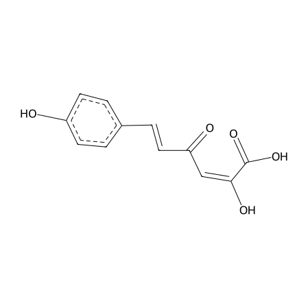 O=C(/C=C/c1ccc(O)cc1)/C=C(/O)C(=O)O